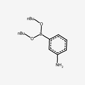 CCCCOB(OCCCC)c1cccc(N)c1